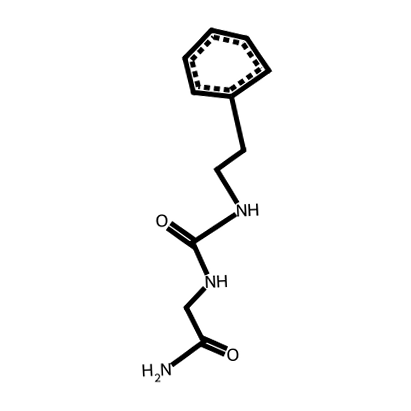 NC(=O)CNC(=O)NCCc1ccccc1